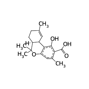 CC1=CC2c3c(cc(C)c(C(=O)O)c3O)OC(C)(C)[C@H]2CC1